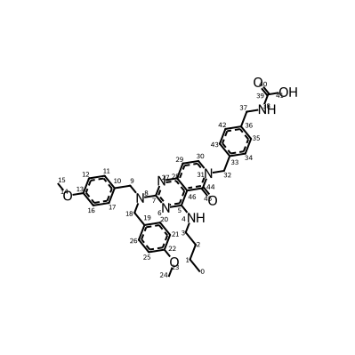 CCCCNc1nc(N(Cc2ccc(OC)cc2)Cc2ccc(OC)cc2)nc2ccn(Cc3ccc(CNC(=O)O)cc3)c(=O)c12